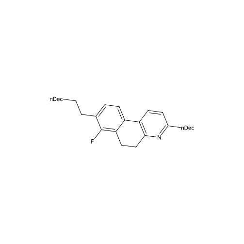 CCCCCCCCCCCCc1ccc2c(c1F)CCc1nc(CCCCCCCCCC)ccc1-2